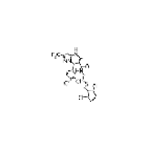 CC1=C(C(=O)NCCSCc2c(Cl)cccc2Cl)C(c2ccc(Cl)c(Cl)c2)n2nc(C(F)(F)F)cc2N1